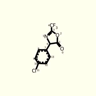 O=C1OC(C(F)(F)F)=NC1c1ccc(Cl)cc1